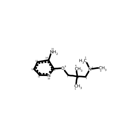 CN(C)CC(C)(C)COc1ncccc1N